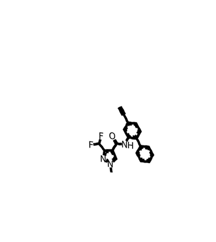 C#Cc1ccc(-c2ccccc2)c(NC(=O)c2cn(C)nc2C(F)F)c1